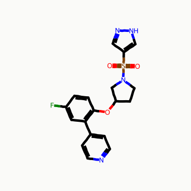 O=S(=O)(c1cn[nH]c1)N1CCC(Oc2ccc(F)cc2-c2ccncc2)C1